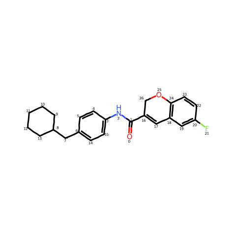 O=C(Nc1ccc([CH]C2CCCCC2)cc1)C1=Cc2cc(F)ccc2OC1